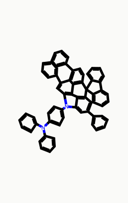 c1ccc(-c2cc3c4c5c6c(ccc(-c7ccccc7)c6c(-c6ccccc6)cc5n(-c5ccc(N(c6ccccc6)c6ccccc6)cc5)c4c2)C32c3ccccc3-c3ccccc32)cc1